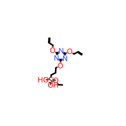 C=CCOc1nc(OCC=C)nc(OCCC[Si](O)(O)OCC)n1